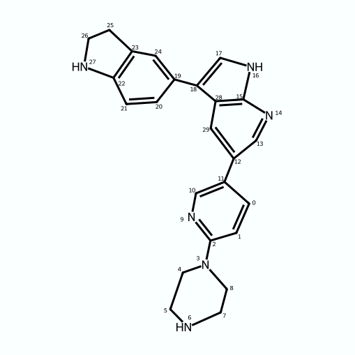 c1cc(N2CCNCC2)ncc1-c1cnc2[nH]cc(-c3ccc4c(c3)CCN4)c2c1